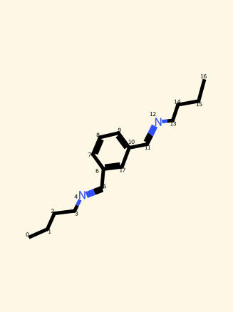 CCCC/N=C/c1cccc(/C=N/CCCC)c1